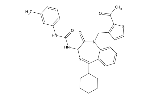 CC(=O)c1sccc1CN1C(=O)C(NC(=O)Nc2cccc(C)c2)N=C(C2CCCCC2)c2ccccc21